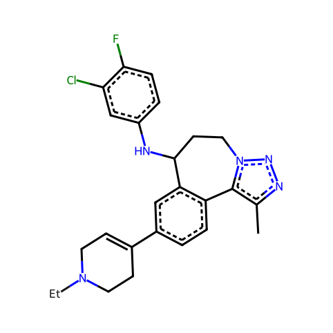 CCN1CC=C(c2ccc3c(c2)C(Nc2ccc(F)c(Cl)c2)CCn2nnc(C)c2-3)CC1